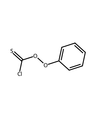 S=C(Cl)OOc1ccccc1